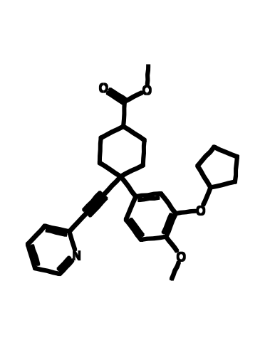 COC(=O)C1CCC(C#Cc2ccccn2)(c2ccc(OC)c(OC3CCCC3)c2)CC1